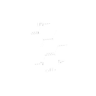 CNc1c([N+](=O)[O-])cc2c(c1F)CCNC2=O